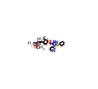 Cc1cc(OCc2nnc(SC3C=CCCC3)n2-c2cccnc2)ccc1C#CCN(C)S(C)(=O)=O